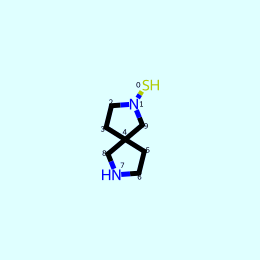 SN1CCC2(CCNC2)C1